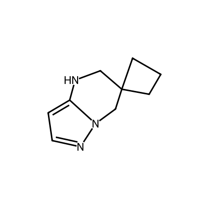 c1cc2n(n1)CC1(CCC1)CN2